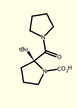 CC(C)(C)[C@]1(C(=O)N2CCCC2)CCCN1C(=O)O